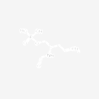 C=CCC(COP(=O)(O)O)NC=O